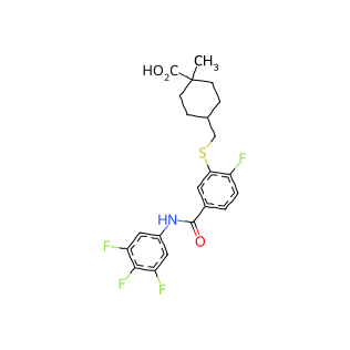 CC1(C(=O)O)CCC(CSc2cc(C(=O)Nc3cc(F)c(F)c(F)c3)ccc2F)CC1